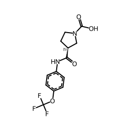 O=C(Nc1ccc(OC(F)(F)F)cc1)[C@H]1CCN(C(=O)O)C1